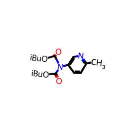 Cc1ccc(N(C(=O)OCC(C)C)C(=O)OCC(C)C)cn1